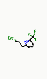 FC(F)(F)c1cccc(CCCBr)n1